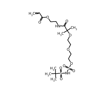 C=CC(=O)OCCNC(=O)C(C)(C)OCCOCCOS(=O)(=O)NS(=O)(=O)C(C)(C)C